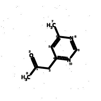 CC(=O)Cc1cc(C)ncn1